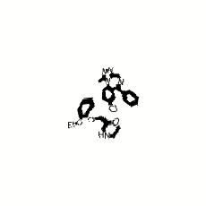 CCOc1ccccc1OCC1CNCCO1.Cc1nnc2n1-c1ccc(Cl)cc1C(c1ccccc1)=NC2